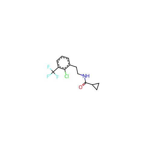 O=C(NCCc1cccc(C(F)(F)F)c1Cl)C1CC1